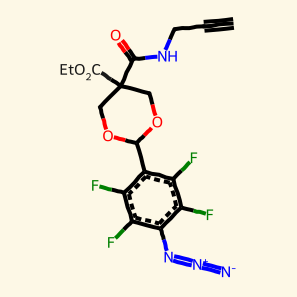 C#CCNC(=O)C1(C(=O)OCC)COC(c2c(F)c(F)c(N=[N+]=[N-])c(F)c2F)OC1